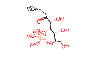 CCCCCCCCCCCC(=O)[C@H](O)[C@@H](O)[C@H](O)[C@H](O)CO.O=P(O)(O)O